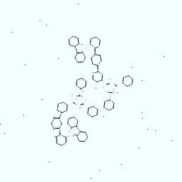 c1ccc(-c2nc(-c3cccc(-c4cccc(-c5nc(-c6ccccc6)nc(-c6ccc7sc8cc9c(cc8c7c6)oc6cccc(-n7c8ccccc8c8ccccc87)c69)n5)c4)c3)nc(-c3ccc4oc5cc6sc7cccc(-n8c9ccccc9c9ccccc98)c7c6cc5c4c3)n2)cc1